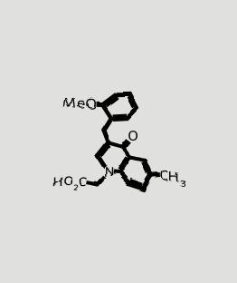 COc1ccccc1Cc1cn(CC(=O)O)c2ccc(C)cc2c1=O